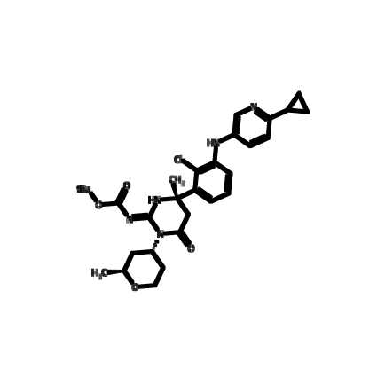 C[C@H]1C[C@H](N2C(=O)C[C@@](C)(c3cccc(Nc4ccc(C5CC5)nc4)c3Cl)N/C2=N\C(=O)OC(C)(C)C)CCO1